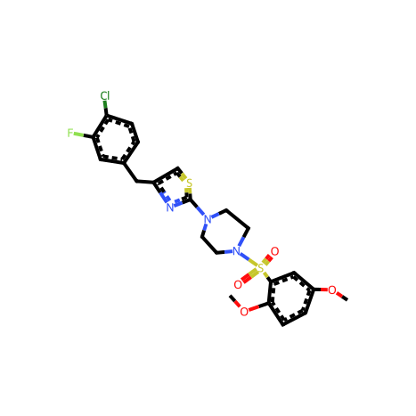 COc1ccc(OC)c(S(=O)(=O)N2CCN(c3nc(Cc4ccc(Cl)c(F)c4)cs3)CC2)c1